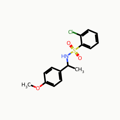 COc1ccc(C(C)NS(=O)(=O)c2ccccc2Cl)cc1